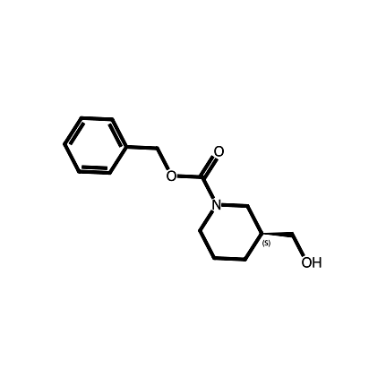 O=C(OCc1ccccc1)N1CCC[C@H](CO)C1